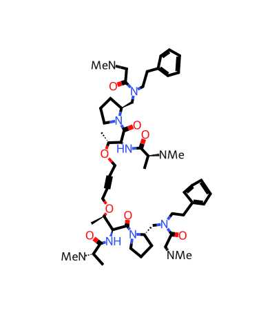 CNCC(=O)N(CCc1ccccc1)C[C@@H]1CCCN1C(=O)[C@@H](NC(=O)[C@H](C)NC)[C@@H](C)OCC#CCO[C@H](C)[C@H](NC(=O)[C@H](C)NC)C(=O)N1CCC[C@H]1CN(CCc1ccccc1)C(=O)CNC